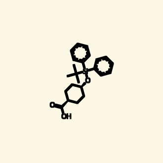 CC(C)(C)[Si](O[C@H]1CC[C@@H](C(=O)O)CC1)(c1ccccc1)c1ccccc1